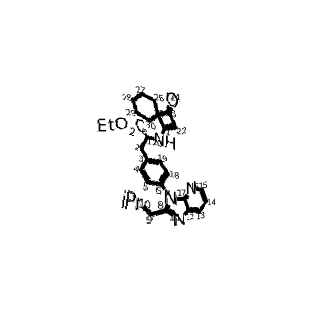 CCOC(=O)[C@H](Cc1ccc(-n2c(CC(C)C)nc3cccnc32)cc1)NC1=CC(=O)C12CCCCC2